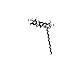 CCCCCCCCCCCCCCCC(=O)NC(Cc1cc(I)c(Oc2cc(I)c(O)c(I)c2)c(I)c1)C(=O)O